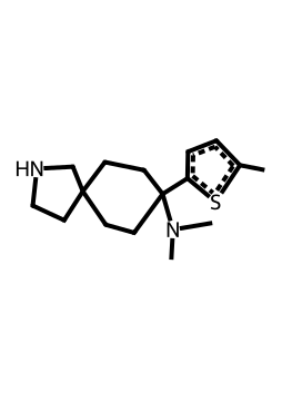 Cc1ccc(C2(N(C)C)CCC3(CCNC3)CC2)s1